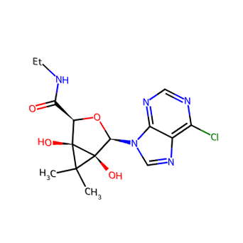 CCNC(=O)[C@H]1O[C@@H](n2cnc3c(Cl)ncnc32)[C@]2(O)C(C)(C)[C@]12O